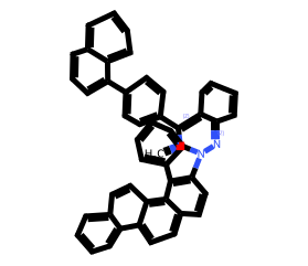 C=N/C(=C1/C=CC=C/C1=N/n1c2ccccc2c2c3c(ccc4c5ccccc5ccc43)ccc21)c1ccc(-c2cccc3ccccc23)cc1